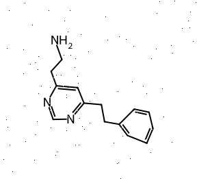 NCCc1cc(CCc2ccccc2)ncn1